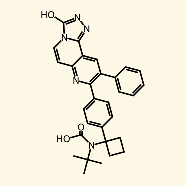 CC(C)(C)N(C(=O)O)C1(c2ccc(-c3nc4ccn5c(O)nnc5c4cc3-c3ccccc3)cc2)CCC1